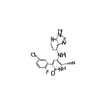 N#Cc1[nH]c(=O)c(-c2cc(Cl)ccc2F)cc1Nc1ccnc2[nH]cnc12